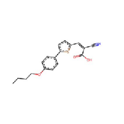 CCCCOc1ccc(-c2ccc(C=C(C#N)C(=O)O)s2)cc1